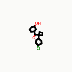 O=C(c1cccc(O)c1)C1(c2ccc(Cl)cc2)CCC1